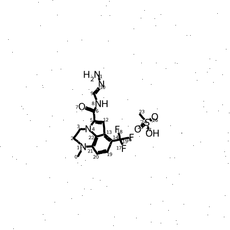 CN1CCn2c(C(=O)NC=NN)cc3c(C(F)(F)F)ccc1c32.CS(=O)(=O)O